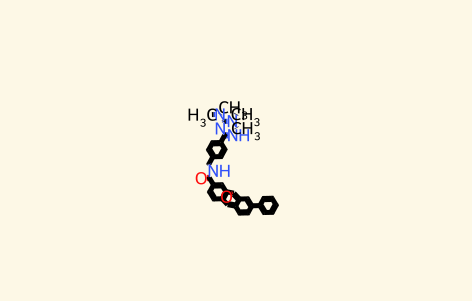 CN(C)C(=NC(=N)c1ccc(CNC(=O)c2ccc3c(c2)c2oc3c3ccc(-c4ccccc4)cc32)cc1)N(C)C